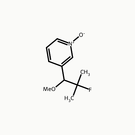 COC(c1ccc[n+]([O-])c1)C(C)(C)F